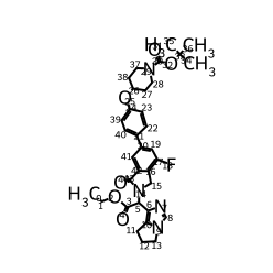 CCOC(=O)C(c1ncn2c1CCC2)N1Cc2c(F)cc(-c3ccc(OC4CCN(C(=O)OC(C)(C)C)CC4)cc3)cc2C1=O